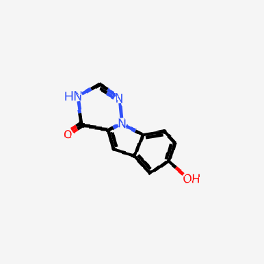 O=c1[nH]cnn2c1cc1cc(O)ccc12